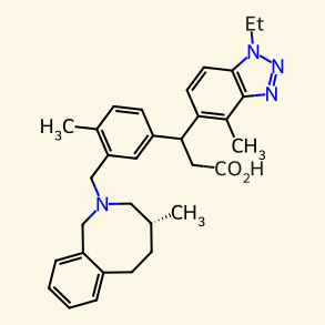 CCn1nnc2c(C)c(C(CC(=O)O)c3ccc(C)c(CN4Cc5ccccc5CC[C@@H](C)C4)c3)ccc21